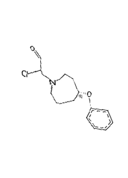 O=CC(Cl)N1CCC[C@@H](Oc2ccccc2)CC1